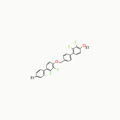 CCOc1ccc(-c2ccc(COc3ccc(-c4ccc(CC)cc4)c(F)c3F)cc2)c(F)c1F